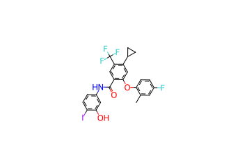 Cc1cc(F)ccc1Oc1cc(C2CC2)c(C(F)(F)F)cc1C(=O)Nc1ccc(I)c(O)c1